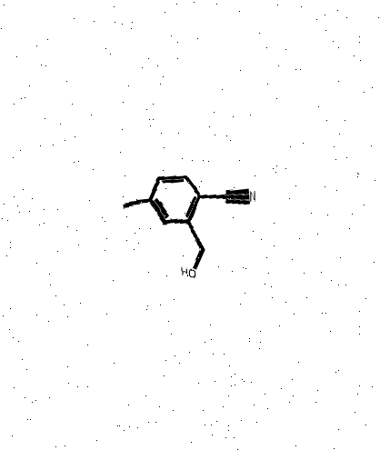 Cc1ccc(C#N)c(CO)c1